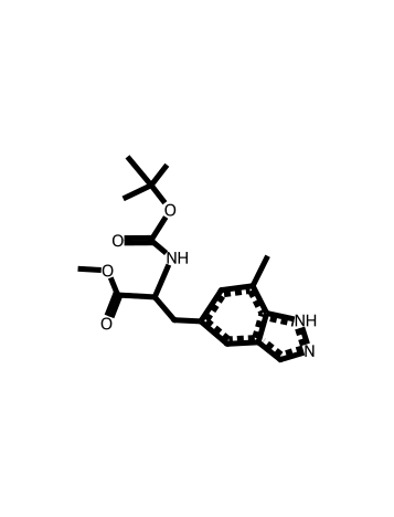 COC(=O)C(Cc1cc(C)c2[nH]ncc2c1)NC(=O)OC(C)(C)C